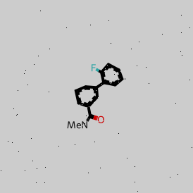 CNC(=O)c1cccc(-c2c[c]ccc2F)c1